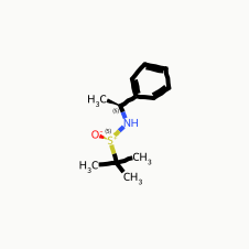 C[C@H](N[S@+]([O-])C(C)(C)C)c1ccccc1